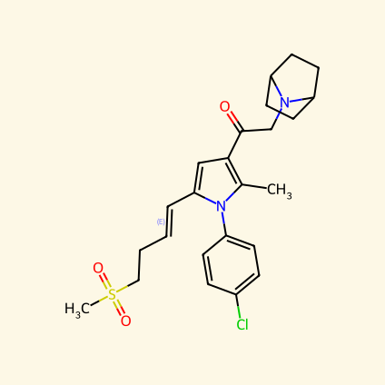 Cc1c(C(=O)CN2C3CCC2CC3)cc(/C=C/CCS(C)(=O)=O)n1-c1ccc(Cl)cc1